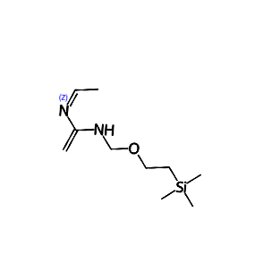 C=C(/N=C\C)NCOCC[Si](C)(C)C